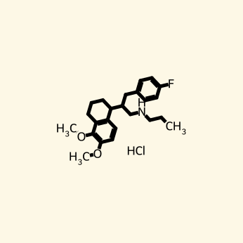 CCCNCC(Cc1ccc(F)cc1)C1CCCc2c1ccc(OC)c2OC.Cl